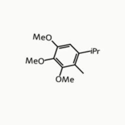 COc1cc(C(C)C)c(C)c(OC)c1OC